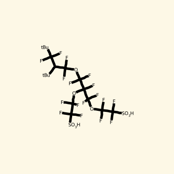 CC(C)(C)C(C(F)(F)OC(F)(F)C(F)(OC(F)(F)C(F)(F)S(=O)(=O)O)C(F)(F)OC(F)(F)C(F)(F)S(=O)(=O)O)C(F)(F)C(C)(C)C